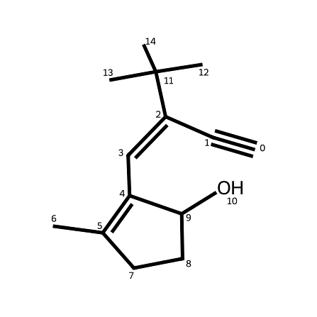 C#C/C(=C\C1=C(C)CCC1O)C(C)(C)C